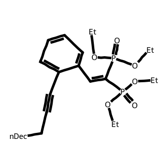 CCCCCCCCCCCC#Cc1ccccc1C=C(P(=O)(OCC)OCC)P(=O)(OCC)OCC